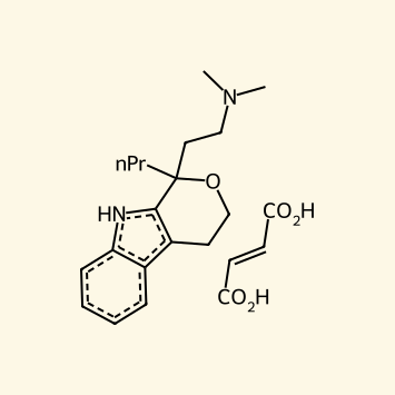 CCCC1(CCN(C)C)OCCc2c1[nH]c1ccccc21.O=C(O)C=CC(=O)O